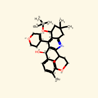 CC1(C)Cc2nc(C3CCOCC3)c([C@H](O)c3ccc(C(C)(C)C)cc3)c(C3=CCOCC3)c2C(O[Si](C)(C)C(C)(C)C)C1